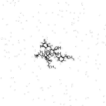 CCCCS(=O)(=O)C[C@@](N)(C(=O)N[C@@H](Cc1cc(F)cc(F)c1)[C@H](O)CNCc1cccc(CC)c1)C(=O)OCCC#N